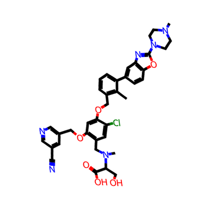 Cc1c(COc2cc(OCc3cncc(C#N)c3)c(CN(C)C(CO)C(=O)O)cc2Cl)cccc1-c1ccc2oc(N3CCN(C)CC3)nc2c1